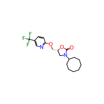 O=C1O[C@@H](COc2ccc(C(F)(F)F)cn2)CN1C1CCCCCCC1